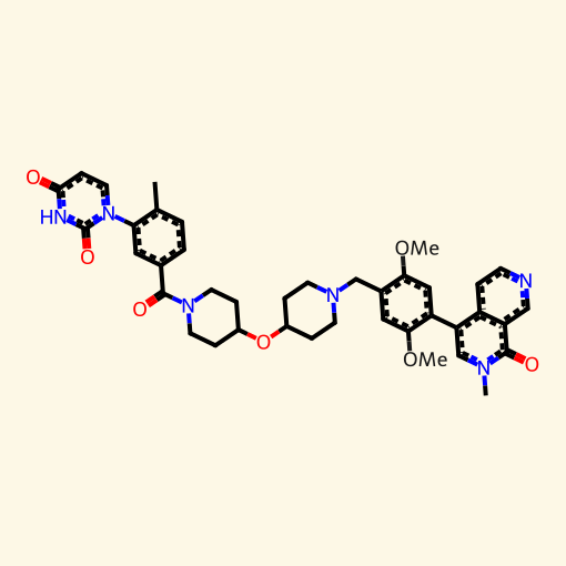 COc1cc(-c2cn(C)c(=O)c3cnccc23)c(OC)cc1CN1CCC(OC2CCN(C(=O)c3ccc(C)c(-n4ccc(=O)[nH]c4=O)c3)CC2)CC1